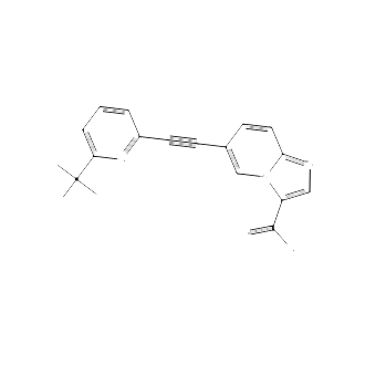 NC(=O)c1cnc2ccc(C#Cc3cccc(C(F)(F)F)n3)cn12